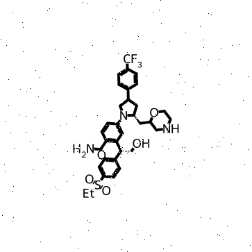 CCS(=O)(=O)c1ccc([C@@H](CO)c2cc(N3CC(c4ccc(C(F)(F)F)cc4)C[C@H]3CC3CNCCO3)ccc2C(N)=O)cc1